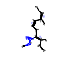 C=NN/C(C/C=C\C(C)=C/C)=C(/C)CC